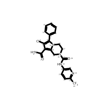 NC(=O)c1c(Cl)c(-c2ccccc2)n2c1CN(C(=O)Nc1ccc(C(F)(F)F)nc1)CC2